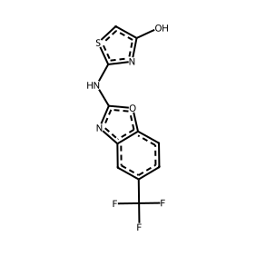 Oc1csc(Nc2nc3cc(C(F)(F)F)ccc3o2)n1